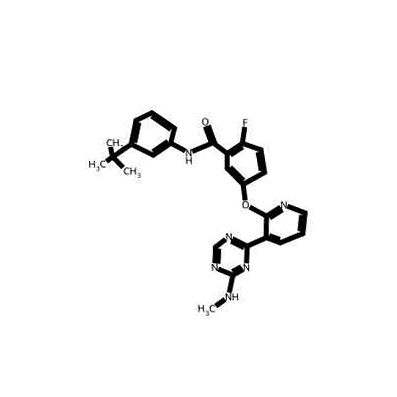 CNc1ncnc(-c2cccnc2Oc2ccc(F)c(C(=O)Nc3cccc(C(C)(C)C)c3)c2)n1